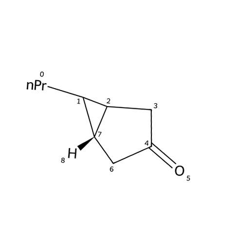 CCCC1C2CC(=O)C[C@H]12